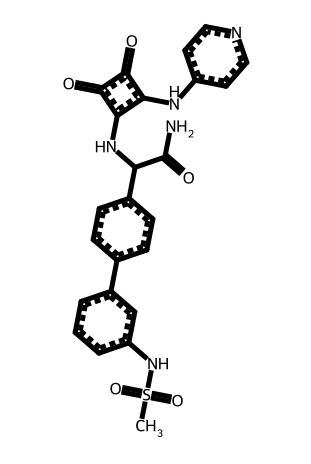 CS(=O)(=O)Nc1cccc(-c2ccc(C(Nc3c(Nc4ccncc4)c(=O)c3=O)C(N)=O)cc2)c1